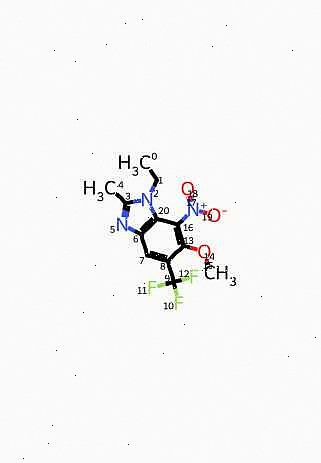 CCn1c(C)nc2cc(C(F)(F)F)c(OC)c([N+](=O)[O-])c21